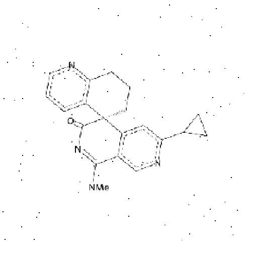 CNC1=NC(=O)[C@]2(CCCc3ncccc32)c2cc(C3CC3)ncc21